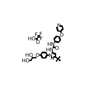 CC(C)(C)c1cc(NC(=O)Nc2ccc(Oc3ccncc3)cc2)n(-c2ccc(OCC(O)CO)cc2)n1.O=C(O)C(F)(F)F